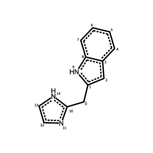 [CH](c1cc2ccccc2[nH]1)c1ncc[nH]1